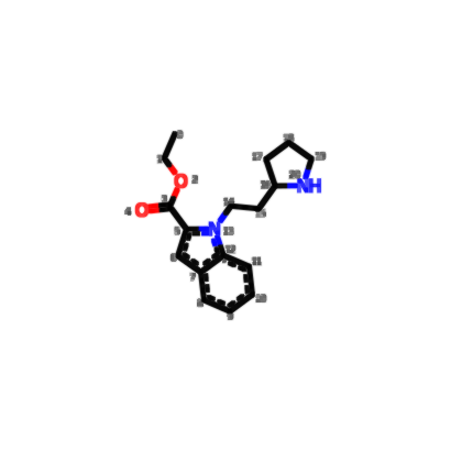 CCOC(=O)c1cc2ccccc2n1CCC1CCCN1